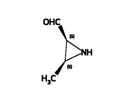 C[C@@H]1N[C@@H]1C=O